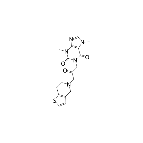 Cn1cnc2c1c(=O)n(CC(=O)CN1CCc3sccc3C1)c(=O)n2C